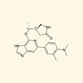 Cc1cc(-c2cc3nc[nH]c3c(O[C@H](C)[C@H]3CNC(=O)C3)n2)ccc1N(C)C